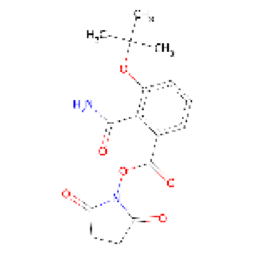 CC(C)(C)Oc1cccc(C(=O)ON2C(=O)CCC2=O)c1C(N)=O